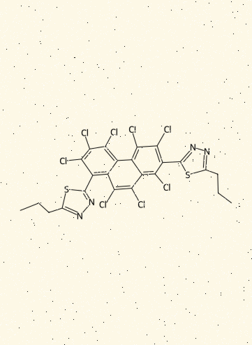 CCCc1nnc(-c2c(Cl)c(Cl)c3c(c2Cl)c(Cl)c(Cl)c2c(-c4nnc(CCC)s4)c(Cl)c(Cl)c(Cl)c23)s1